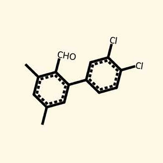 Cc1cc(C)c(C=O)c(-c2ccc(Cl)c(Cl)c2)c1